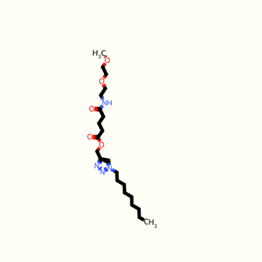 CCCCCCCCCn1cc(COC(=O)CCCC(=O)NCCOCCOC)nn1